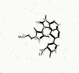 CCNc1cc(-c2ccc3ncc4c(c3c2)n(-c2c(C)nn(CCOC)c2C)c(=O)n4C)cnc1C